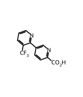 O=C(O)c1ccc(-c2ncccc2C(F)(F)F)cn1